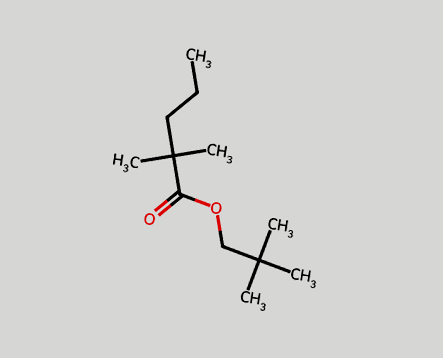 CCCC(C)(C)C(=O)OCC(C)(C)C